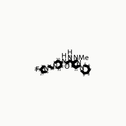 CNc1nc(N2CCCCCC2)ccc1C(=N)C(=O)NC1CCN(CCN2CC[C@@H](F)C2)CC1